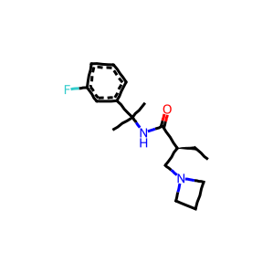 CC[C@@H](CN1CCC1)C(=O)NC(C)(C)c1cccc(F)c1